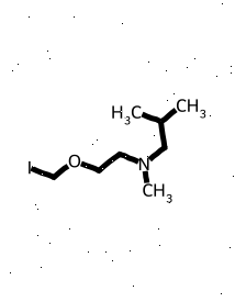 CC(C)CN(C)CCOCI